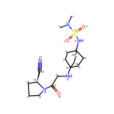 CN(C)S(=O)(=O)NC12CCC(NCC(=O)N3CCC[C@H]3C#N)(CC1)CC2